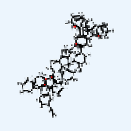 N#Cc1ccc2c(c1)c1cc(-c3ccc4c(c3)C3(c5cc(-c6ccc7c(c6)c6ccccc6n7-c6ccccc6)ccc5O4)c4cc(-c5ccc6c(c5)c5ccccc5n6-c5ccccc5)cnc4-c4ncc(-n5c6ccccc6c6ccccc65)cc43)ccc1n2-c1ccccc1